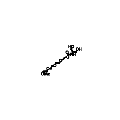 COCCOCCOCCOCCOC(=O)NC(CO)CO